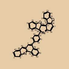 c1ccc2nc3c(cc(-c4ccc(-c5nc6ccc7oc8ccccc8c7c6c6oc7ccccc7c56)cc4)c4ccccc43)cc2c1